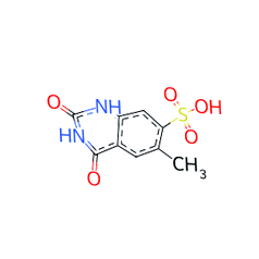 Cc1cc2c(=O)[nH]c(=O)[nH]c2cc1S(=O)(=O)O